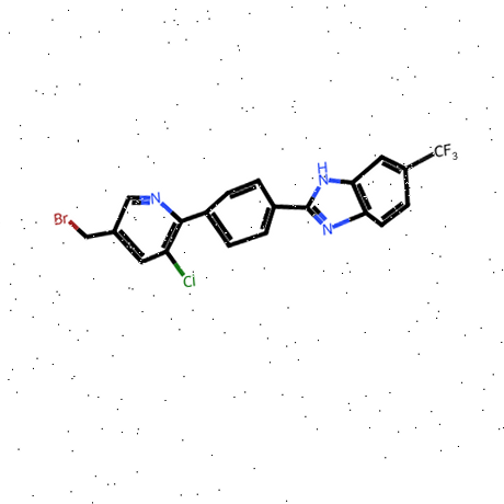 FC(F)(F)c1ccc2nc(-c3ccc(-c4ncc(CBr)cc4Cl)cc3)[nH]c2c1